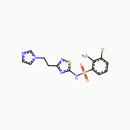 Cc1c(Cl)cccc1S(=O)(=O)Nc1nc(CCn2ccnc2)ns1